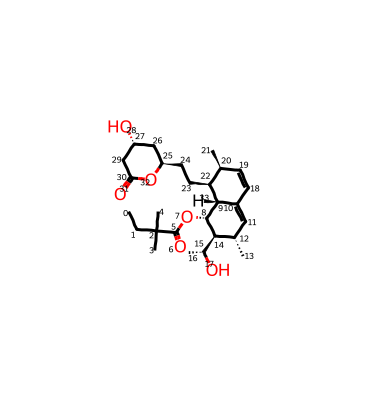 CCC(C)(C)C(=O)O[C@@H]1[C@H]2C(=C[C@H](C)[C@H]1[C@@H](C)O)C=C[C@H](C)[C@@H]2CC[C@@H]1C[C@@H](O)CC(=O)O1